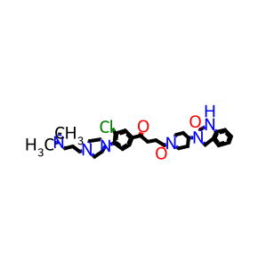 CN(C)CCCN1CCN(c2ccc(C(=O)CCC(=O)N3CCC(N4Cc5ccccc5NC4=O)CC3)cc2Cl)CC1